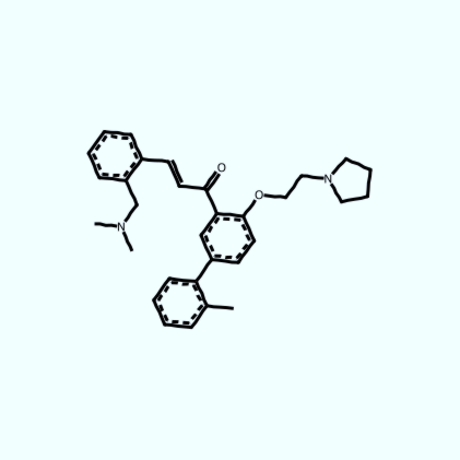 Cc1ccccc1-c1ccc(OCCN2CCCC2)c(C(=O)C=Cc2ccccc2CN(C)C)c1